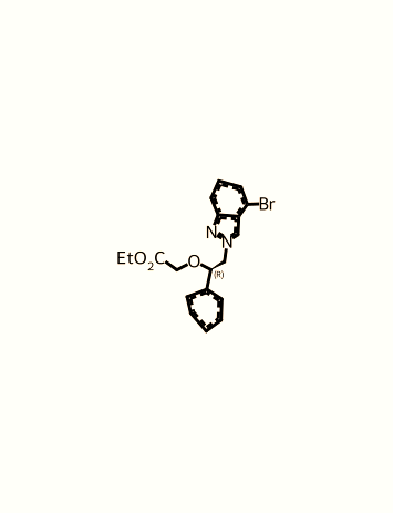 CCOC(=O)CO[C@@H](Cn1cc2c(Br)cccc2n1)c1ccccc1